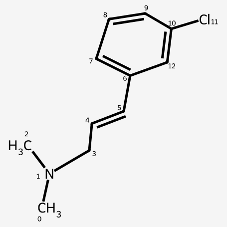 CN(C)CC=Cc1cccc(Cl)c1